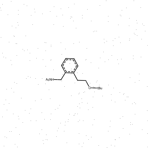 CC(=O)NCc1ccccc1CCOC(C)(C)C